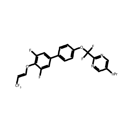 CCCc1cnc(C(F)(F)Oc2ccc(-c3cc(F)c(O/C=C/C(F)(F)F)c(F)c3)cc2)nc1